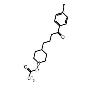 O=C(CCCC1CCN(OC(=O)C(F)(F)F)CC1)c1ccc(F)cc1